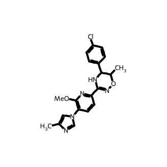 COc1nc(C2=NOC(C)C(c3ccc(Cl)cc3)N2)ccc1-n1cnc(C)c1